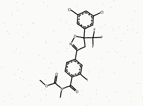 COC(=O)N(C)C(=O)c1ccc(C2=NOC(c3cc(Cl)cc(Cl)c3)(C(F)(F)F)C2)cc1I